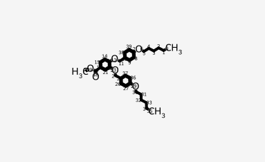 CCCCCCOc1ccc(COc2ccc(C(=O)OC)cc2OCc2ccc(OCCCCCC)cc2)cc1